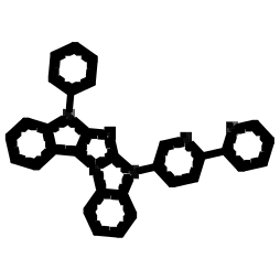 c1ccc(-n2c3ccccc3c3c2nc2n(-c4ccc(-c5ccccn5)nc4)c4ccccc4n32)cc1